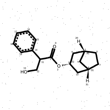 O=C(O[C@@H]1C[C@@H]2CC[C@@H](C2)C1)C(CO)c1ccccc1